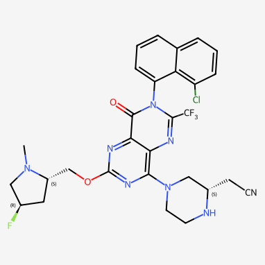 CN1C[C@H](F)C[C@H]1COc1nc(N2CCN[C@@H](CC#N)C2)c2nc(C(F)(F)F)n(-c3cccc4cccc(Cl)c34)c(=O)c2n1